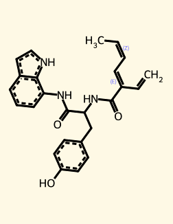 C=C/C(=C\C=C/C)C(=O)NC(Cc1ccc(O)cc1)C(=O)Nc1cccc2cc[nH]c12